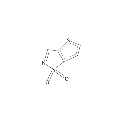 O=S1(=O)N=Cc2sccc21